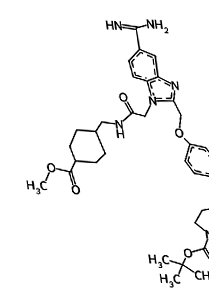 COC(=O)C1CCC(CNC(=O)Cn2c(COc3ccc(OC4CCN(C(=O)OC(C)(C)C)CC4)cc3)nc3cc(C(=N)N)ccc32)CC1